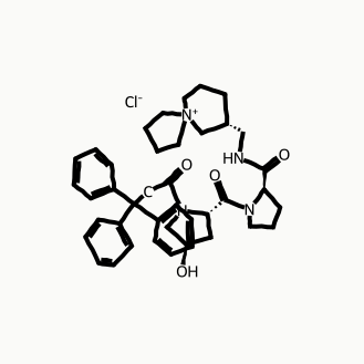 O=C(NC[C@H]1CCC[N+]2(CCCC2)C1)[C@H]1CCCN1C(=O)[C@@H]1C[C@@H](O)CN1C(=O)CC(c1ccccc1)(c1ccccc1)c1ccccc1.[Cl-]